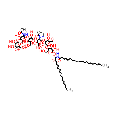 CCCCCCCCCCCCC/C=C/[C@@H](O)[C@H](CO[C@@H]1OC(CO)[C@@H](O[C@@H]2OC(CO)[C@H](O)[C@H](O[C@@H]3OC(CO)[C@@H](O)[C@H](O[C@@H]4OC(CO)[C@H](O)[C@H](O[C@@H]5OC(CO)[C@@H](O[C@@H]6OC(CO)[C@H](O)[C@H](O)C6O)[C@H](O)C5NC(C)=O)C4O)C3NC(C)=O)C2O)[C@H](O)C1O)NC(=O)CCCCCCCCCCCCCCCCCCCCC